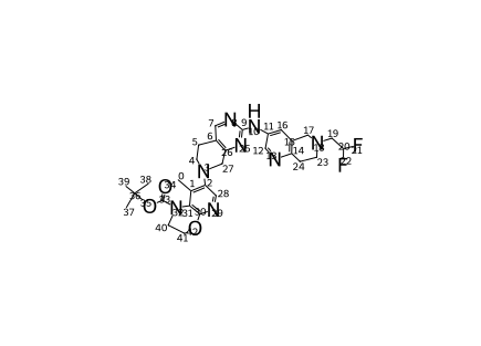 Cc1c(N2CCc3cnc(Nc4cnc5c(c4)CN(CC(F)F)CC5)nc3C2)cnc2c1N(C(=O)OC(C)(C)C)CCO2